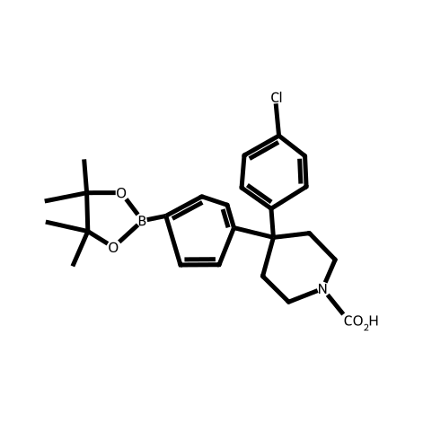 CC1(C)OB(c2ccc(C3(c4ccc(Cl)cc4)CCN(C(=O)O)CC3)cc2)OC1(C)C